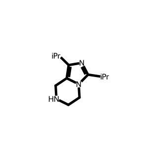 CC(C)c1nc(C(C)C)n2c1CNCC2